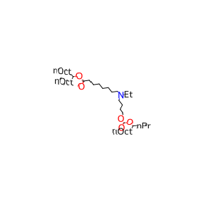 CCCCCCCCC(CCCCCCCC)OC(=O)CCCCCCCN(CC)CCCCOC(=O)OC(CCC)CCCCCCCC